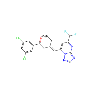 CNC/C(=C\c1cc(C(F)F)nc2ncnn12)CC(=O)c1cc(Cl)cc(Cl)c1